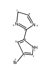 Brc1c[nH]c(C2=NCC=N2)c1